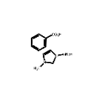 CCCCCCCCCN1C=CN(C)C1.O=C(O)c1ccccc1